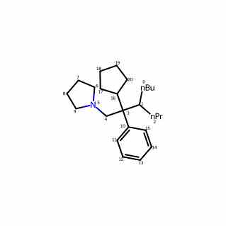 CCCCC(CCC)C(CN1CCCC1)(c1ccccc1)C1CCCC1